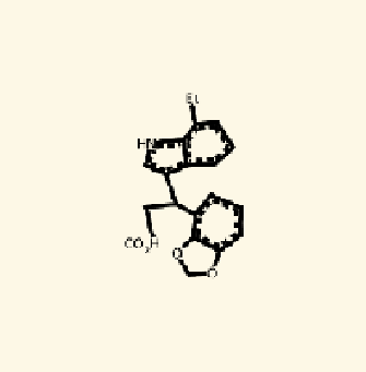 CCc1cccc2c(C(CC(=O)O)c3cccc4c3OCO4)c[nH]c12